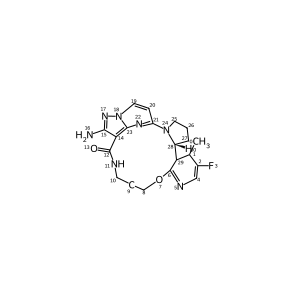 CC1C(F)=CN=C2OCCCNC(=O)c3c(N)nn4ccc(nc34)N3CCC[C@@H]3C21